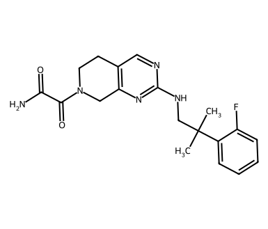 CC(C)(CNc1ncc2c(n1)CN(C(=O)C(N)=O)CC2)c1ccccc1F